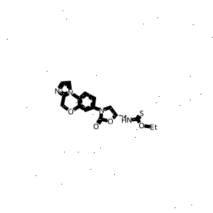 CCOC(=S)NC[C@H]1CN(c2ccc3c(c2)OCc2nccn2-3)C(=O)O1